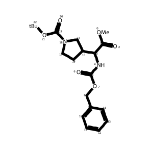 COC(=O)C(NC(=O)OCc1ccccc1)C1CCN(C(=O)OC(C)(C)C)C1